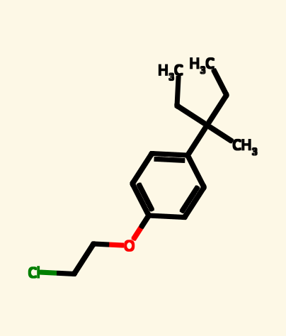 CCC(C)(CC)c1ccc(OCCCl)cc1